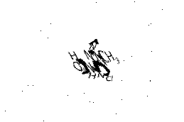 Cn1c(N2CCC2)nc2c(N3C[C@H]4C[C@@H]3CO4)nc(Cl)cc21